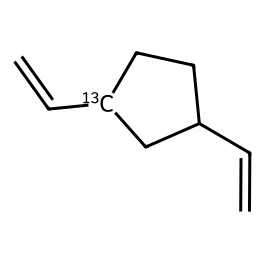 C=CC1CC[13CH](C=C)C1